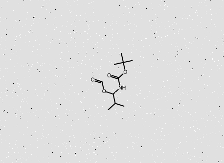 CC(C)C(NC(=O)OC(C)(C)C)OC=O